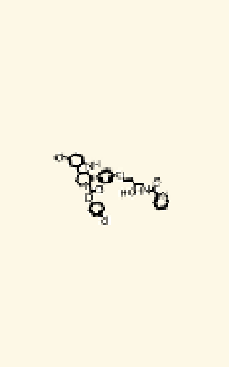 O=C(NCC(O)CCOc1ccc([C@H]2c3[nH]c4ccc(Cl)cc4c3CCN2C(=O)Oc2ccc(Cl)cc2)cc1)c1ccccn1